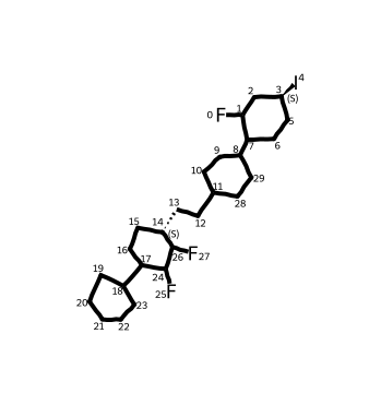 FC1C[C@@H](I)CCC1C1CCC(CC[C@H]2CCC(C3CCCCC3)C(F)C2F)CC1